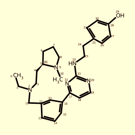 CCN(CC[C@H]1CCCN1C)Cc1cccc(-c2ccnc(NCCc3ccc(O)cc3)n2)c1